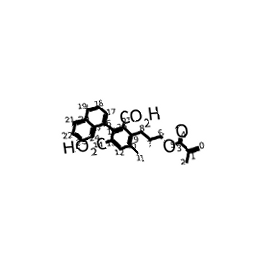 C=C(C)C(=O)OCCCc1c(C)cc(C(=O)O)c(-c2cccc3ccccc23)c1C(=O)O